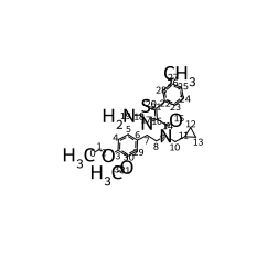 CCOc1ccc(CCN(CC2CC2)C(=O)c2nc(N)sc2-c2cccc(C)c2)cc1OC